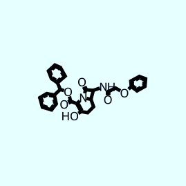 O=C(COc1ccccc1)NC1C(=O)N2C(C(=O)OC(c3ccccc3)c3ccccc3)=C(O)CCC12